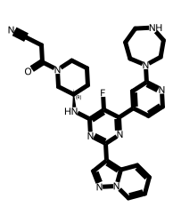 N#CCC(=O)N1CCC[C@@H](Nc2nc(-c3cnn4ccccc34)nc(-c3ccnc(N4CCCNCC4)c3)c2F)C1